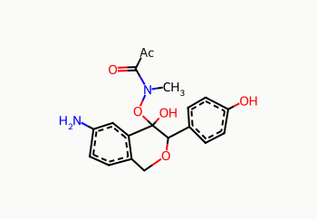 CC(=O)C(=O)N(C)OC1(O)c2cc(N)ccc2COC1c1ccc(O)cc1